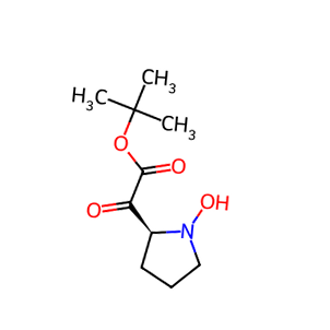 CC(C)(C)OC(=O)C(=O)[C@@H]1CCCN1O